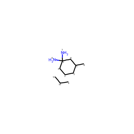 CC1CCCC(N)(N)C1.CCC